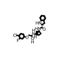 O=C(NC12CC(C1)[C@H](NC(O)COc1ccc(Cl)c(F)c1)C2)[C@H]1Cc2ccccc2N1